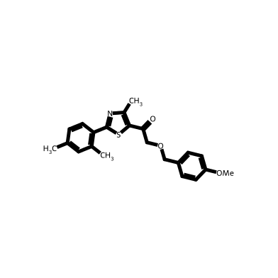 COc1ccc(COCC(=O)c2sc(-c3ccc(C)cc3C)nc2C)cc1